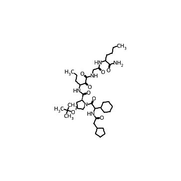 CCCCC(NC(=O)CNC(=O)C(=O)C(CCC)NC(=O)[C@@H]1C[C@@H](OC(C)(C)C)CN1C(=O)C(NC(=O)CC1CCCC1)C1CCCCC1)C(N)=O